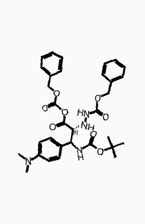 CN(C)c1ccc(C(NC(=O)OC(C)(C)C)[C@@H](NNC(=O)OCc2ccccc2)C(=O)OC(=O)OCc2ccccc2)cc1